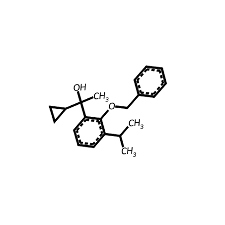 CC(C)c1cccc(C(C)(O)C2CC2)c1OCc1ccccc1